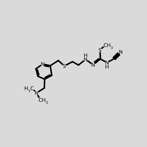 CS/C(=N\NCCSCc1cc(CN(C)C)ccn1)NC#N